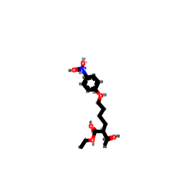 CCOC(=O)C(CCCCOc1ccc([N+](=O)[O-])cc1)C(C)=O